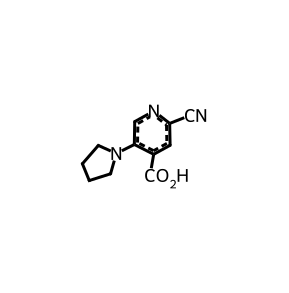 N#Cc1cc(C(=O)O)c(N2CCCC2)cn1